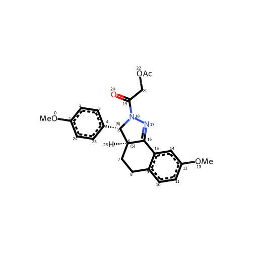 COc1ccc([C@H]2[C@@H]3CCc4ccc(OC)cc4C3=NN2C(=O)COC(C)=O)cc1